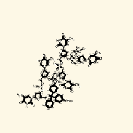 COc1ccc(C(OC[C@H]2O[C@@H](n3cc(C)c(=O)[nH]c3=O)C[C@@H]2O[P@](S)OC[C@H]2O[C@@H](N3C=C(C)C(=O)NC3)C[C@@H]2OP(=O)(S)OC[C@H]2O[C@@H](n3cc(C)c(=O)[nH]c3=O)C[C@@H]2OP(=O)(S)OC[C@H]2O[C@@H](n3cc(C)c(=O)[nH]c3=O)C[C@@H]2OP(=O)(S)OC[C@H]2O[C@@H](n3cc(C)c(=O)[nH]c3=O)C[C@@H]2OP(=O)(S)OC(C)C)(c2ccccc2)c2ccc(OC)cc2)cc1